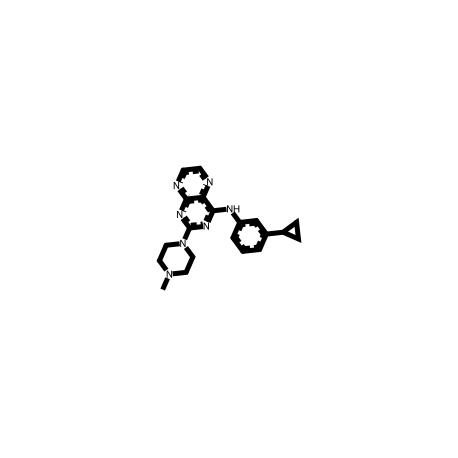 CN1CCN(c2nc(Nc3cccc(C4CC4)c3)c3nccnc3n2)CC1